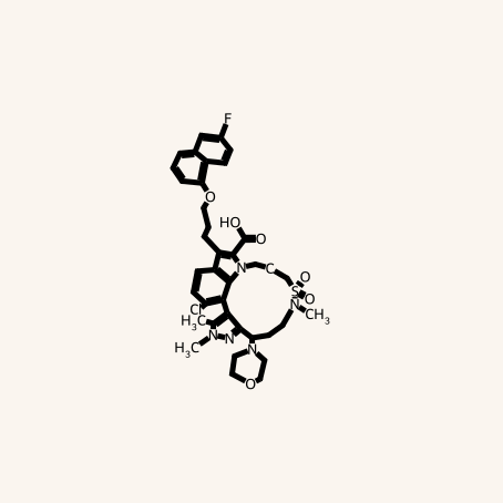 Cc1c2c(nn1C)C(N1CCOCC1)CCN(C)S(=O)(=O)CCCn1c(C(=O)O)c(CCCOc3cccc4cc(F)ccc34)c3ccc(Cl)c-2c31